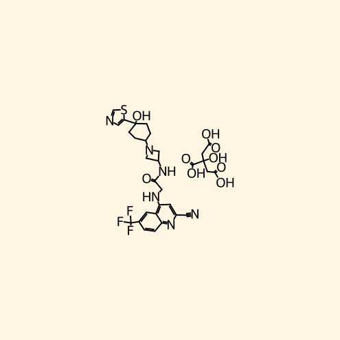 N#Cc1cc(NCC(=O)NC2CN(C3CCC(O)(c4cncs4)CC3)C2)c2cc(C(F)(F)F)ccc2n1.O=C(O)CC(O)(CC(=O)O)C(=O)O